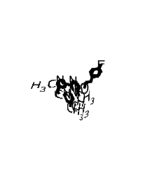 Cc1nc(-c2cnc(C)c(CC(=O)O)c2N2CCC(C)(C)CC2)ncc1OCCc1ccc(F)cc1